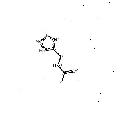 CC(=O)NCc1nnn[nH]1